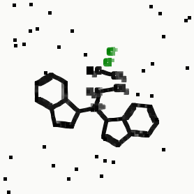 CC.C[SiH2][Zr+2]([CH]1C=Cc2ccccc21)[CH]1C=Cc2ccccc21.[Cl-].[Cl-]